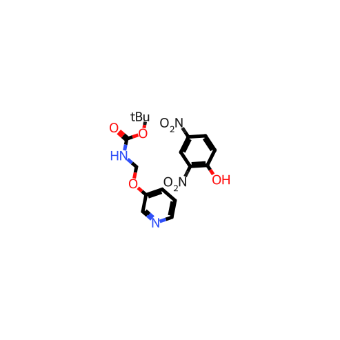 CC(C)(C)OC(=O)NCOc1cccnc1.O=[N+]([O-])c1ccc(O)c([N+](=O)[O-])c1